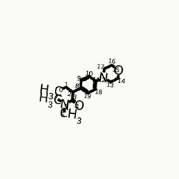 CCC(C(=O)N(C)C)c1ccc(N2CCOCC2)cc1